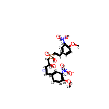 COc1ccc(C=CS(=O)(=O)CC(=O)/C=C\c2ccc(OC)c([N+](=O)[O-])c2)cc1[N+](=O)[O-]